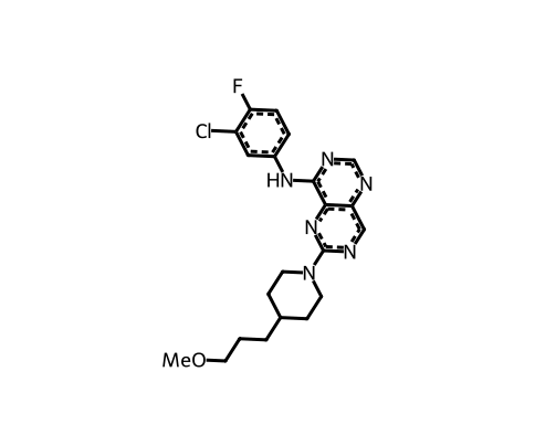 COCCCC1CCN(c2ncc3ncnc(Nc4ccc(F)c(Cl)c4)c3n2)CC1